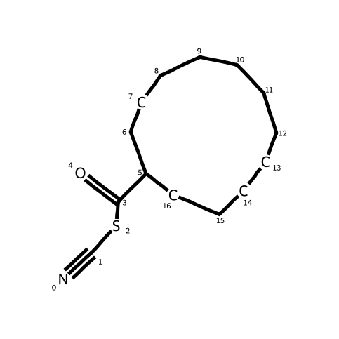 N#CSC(=O)C1CCCCCCCCCCC1